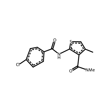 CNC(=O)c1c(C)csc1NC(=O)c1ccc(Cl)cc1